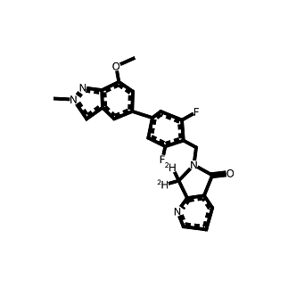 [2H]C1([2H])c2ncccc2C(=O)N1Cc1c(F)cc(-c2cc(OC)c3nn(C)cc3c2)cc1F